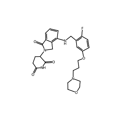 O=C1CCC(N2Cc3c(NCc4cc(OCCCN5CCOCC5)ccc4F)cccc3C2=O)C(=O)N1